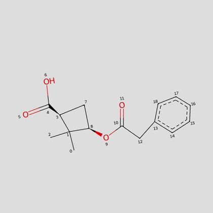 CC1(C)[C@@H](C(=O)O)C[C@H]1OC(=O)Cc1ccccc1